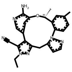 CCn1nc2c(c1C#N)-c1cnc(N)c(c1)O[C@H](C)c1cc(C)ccc1-n1nccc1C2